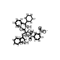 CC(Cc1c[nH]c2ccccc12)(NS(=O)(=O)c1cccc([N+](=O)[O-])c1)C(=O)NC(c1ccccn1)C1CCCCC1